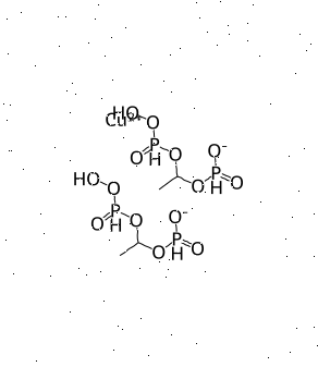 CC(O[PH](=O)[O-])O[PH](=O)OO.CC(O[PH](=O)[O-])O[PH](=O)OO.[Cu+2]